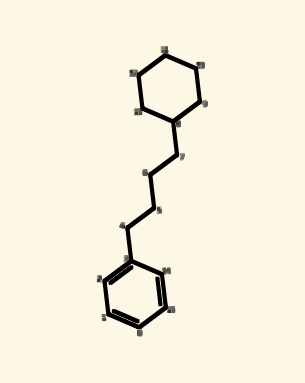 c1ccc(CCCCC2CCCCC2)cc1